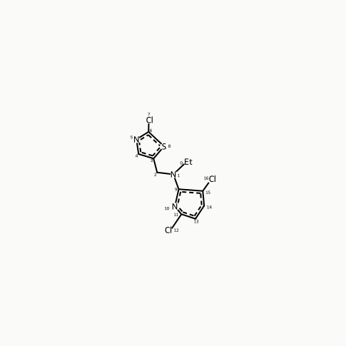 CCN(Cc1cnc(Cl)s1)c1nc(Cl)ccc1Cl